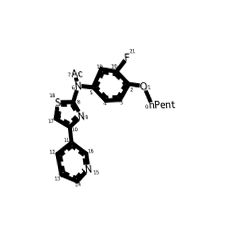 CCCCCOc1ccc(N(C(C)=O)c2nc(-c3cccnc3)cs2)cc1F